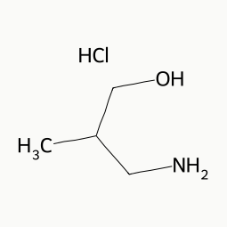 CC(CN)CO.Cl